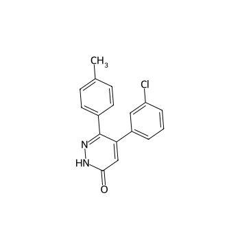 Cc1ccc(-c2n[nH]c(=O)cc2-c2cccc(Cl)c2)cc1